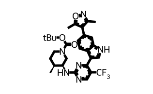 Cc1noc(C)c1-c1ccc2c(-c3nc(N[C@@H]4CN(C(=O)OC(C)(C)C)CC[C@@H]4C)ncc3C(F)(F)F)c[nH]c2c1